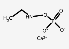 CCNOP(=O)([O-])[O-].[Ca+2]